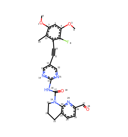 COc1cc(OC)c(F)c(C#Cc2cnc(NC(=O)N3CCCc4ccc(C=O)nc43)nc2)c1C